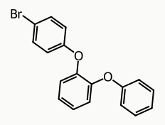 Brc1ccc(Oc2ccccc2Oc2ccccc2)cc1